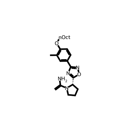 C=C(N)N1CCC[C@H]1c1nc(-c2ccc(OCCCCCCCC)c(C)c2)no1